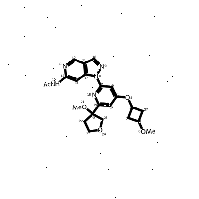 COC1CC(Oc2cc(-n3ncc4cnc(NC(C)=O)cc43)nc(C3(OC)CCOC3)c2)C1